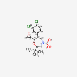 CC(C)(C)C1CN(C(=O)O)CC(c2ccc(Cl)c(Cl)c2)C(C2CO2)O1